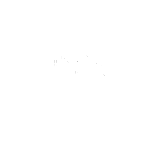 CC(/C(=C/Nc1ccccc1F)N=N)n1cc(-c2ccc(OC3CC3)nc2)c2c(N)ncnc21